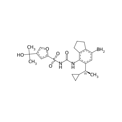 Bc1cc([C@@H](C)C2CC2)c(NC(=O)NS(=O)(=O)c2cc(C(C)(C)O)co2)c2c1CCC2